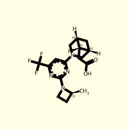 C[C@H]1CCN1c1nc(N2C[C@H]3C[C@@H](C2)[C@H]3CC(=O)O)cc(C(F)(F)F)n1